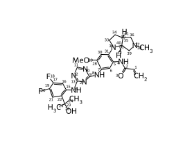 C=CC(=O)Nc1cc(Nc2ncnc(Nc3cc(F)c(F)cc3C(C)(C)O)n2)c(OC)cc1N1CC[C@@H]2CN(C)C[C@@H]21